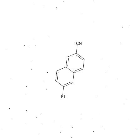 CCc1ccc2cc(C#N)ccc2c1